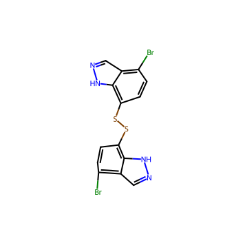 Brc1ccc(SSc2ccc(Br)c3cn[nH]c23)c2[nH]ncc12